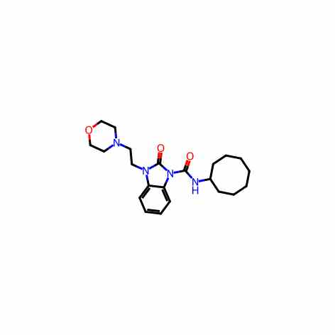 O=C(NC1CCCCCCC1)n1c(=O)n(CCN2CCOCC2)c2ccccc21